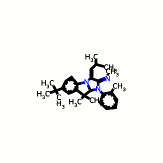 C/N=C1\C(=C/C(C)C)N2c3ccc(C(C)(C)C)cc3C(C)(C)C2N1c1ccccc1C